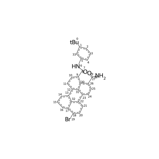 CC(C)(C)c1cccc(NC(=O)c2ccc3c4cccc5c(Br)ccc(c6ccc(C(N)=O)c2c63)c54)c1